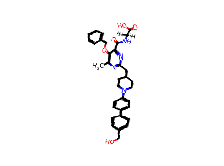 [2H]C([2H])(NC(=O)c1nc(CC2CCN(c3ccc(-c4ccc(CO)cc4)cc3)CC2)nc(C)c1OCc1ccccc1)C(=O)O